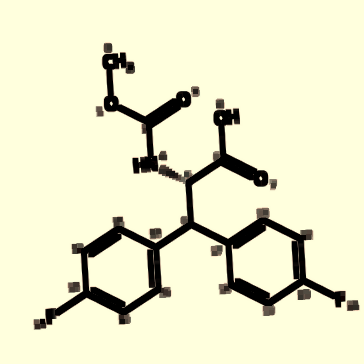 COC(=O)N[C@H](C(=O)O)C(c1ccc(F)cc1)c1ccc(F)cc1